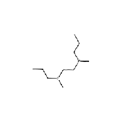 CCCP(C)CCP(C)CCC